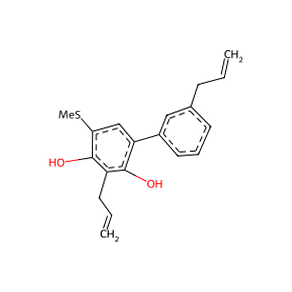 C=CCc1cccc(-c2cc(SC)c(O)c(CC=C)c2O)c1